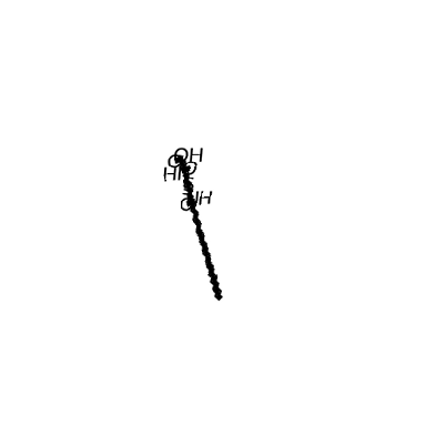 CCC=CCC=CCC=CCC=CCC=CCC=CCCC(=O)NCCSSCCNC(=O)CCC(=O)O